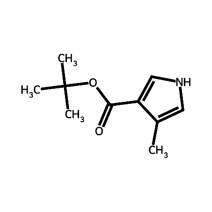 Cc1c[nH]cc1C(=O)OC(C)(C)C